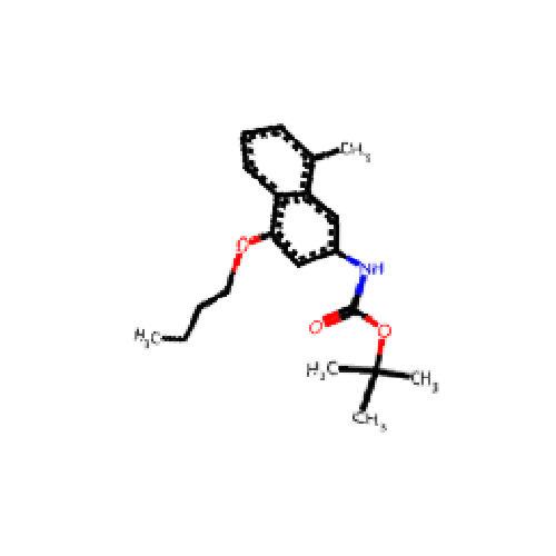 CCCCOc1cc(NC(=O)OC(C)(C)C)cc2c(C)cccc12